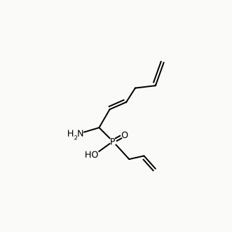 C=CCC=CC(N)P(=O)(O)CC=C